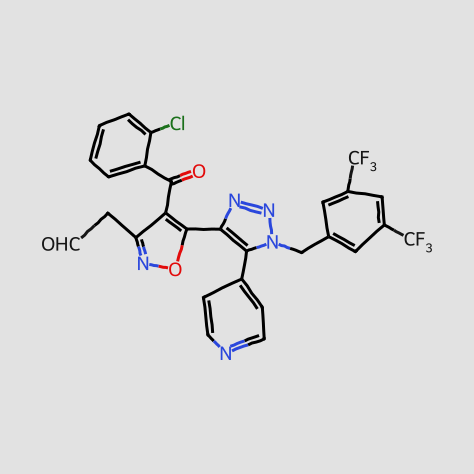 O=CCc1noc(-c2nnn(Cc3cc(C(F)(F)F)cc(C(F)(F)F)c3)c2-c2ccncc2)c1C(=O)c1ccccc1Cl